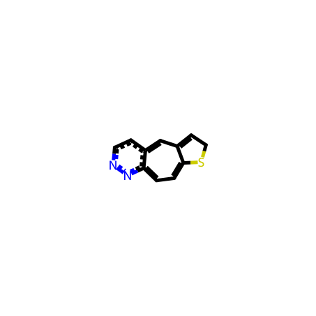 C1=C2C=c3ccnnc3=CC=C2SC1